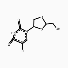 O=c1[nH]c(=O)n(C2COC(CO)O2)cc1Cl